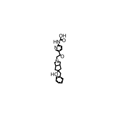 O=C(O)Nc1ccc(C(=O)CN2CC3CC(O)(Cc4ccccc4)CC3C2)cn1